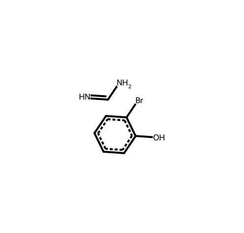 N=CN.Oc1ccccc1Br